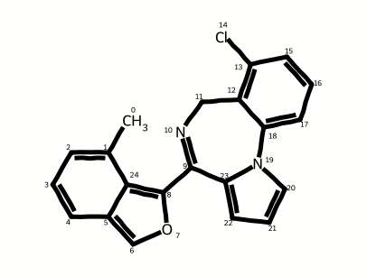 Cc1cccc2coc(C3=NCc4c(Cl)cccc4-n4cccc43)c12